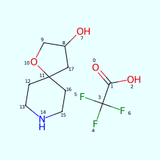 O=C(O)C(F)(F)F.OC1COC2(CCNCC2)C1